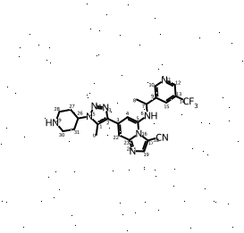 Cc1c(-c2cc(NC(C)c3cncc(C(F)(F)F)c3)n3c(C#N)cnc3c2)nnn1C1CCNCC1